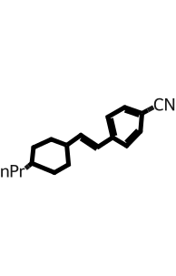 CCCC1CCC(C=Cc2ccc(C#N)cc2)CC1